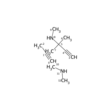 C#CC.C#CC(C)(C)NC.CNC